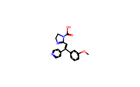 COc1cccc(/C(=C/C2=NCCN2C(=O)O)c2ccncc2)c1